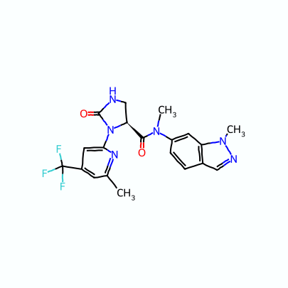 Cc1cc(C(F)(F)F)cc(N2C(=O)NC[C@H]2C(=O)N(C)c2ccc3cnn(C)c3c2)n1